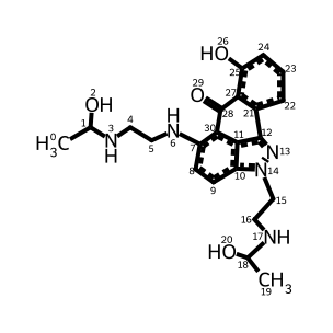 CC(O)NCCNc1ccc2c3c(nn2CCNC(C)O)-c2cccc(O)c2C(=O)c13